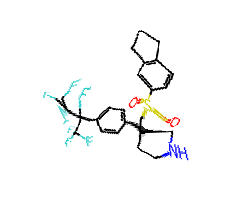 O=S(=O)(c1ccc2c(c1)CCC2)C1(c2ccc(C(F)(C(F)(F)F)C(F)(F)F)cc2)CCNC1